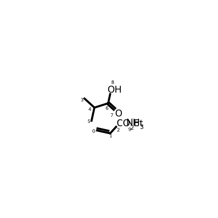 C=CC(=O)OCC.CC(C)C(=O)O.N